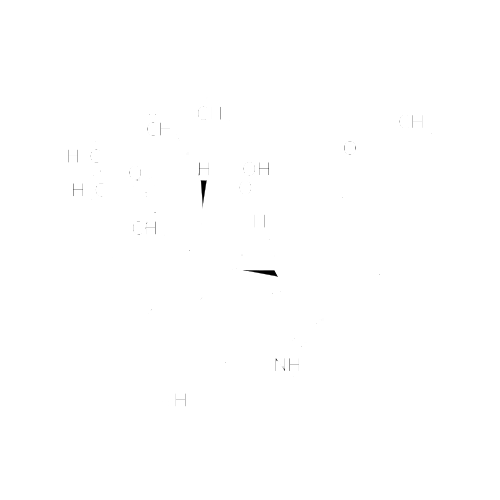 COc1ccc2c3c1O[C@H]1C4(OC)CC[C@@]5(C[C@@H]4C(C)(O)C(C)(C)C)[C@@H](C2)NCC[C@]315